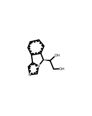 OCC(O)[C@@H]1c2ccccc2-c2cncn21